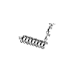 CC(C)[O-].CC(C)[O-].CC(C)[O-].CC(C)[O-].CC(C)[O-].CC(C)[O-].CC(C)[O-].CC(C)[O-].CC(C)[O-].CC(C)[O-].[Ta+5].[Ta+5]